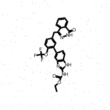 CCOC(=O)Nc1nc2cc(-c3cc(Cc4n[nH]c(=O)c5ccccc45)ccc3OC(F)(F)F)ccc2[nH]1